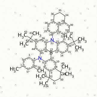 Cc1ccc(N2c3cc4c(cc3B3c5ccc(C(C)(C)C)cc5N(c5ccc6c7c(cccc57)CCC6)c5cc(C(C)(C)C)cc2c53)C(C)(C)CCC4(C)C)c(C)c1